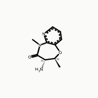 C[C@@H]1Oc2cccnc2N(C)C(=O)[C@H]1N